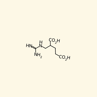 N=C(N)NCC(CCC(=O)O)C(=O)O